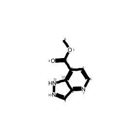 COC(=O)c1ccnc2cn[nH]c12